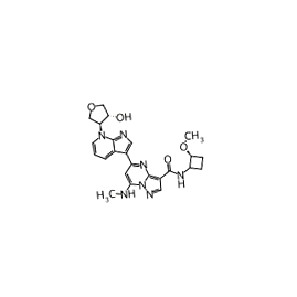 CNc1cc(-c2cnc3n([C@H]4COC[C@@H]4O)cccc2-3)nc2c(C(=O)NC3CC[C@@H]3OC)cnn12